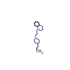 C=CCC1CCN(CCCN2CCCc3ccccc32)CC1